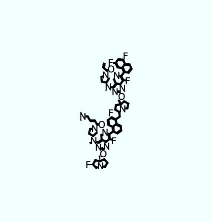 C=CC(=O)N1CC[C@@H](N(C)c2nc(OCC34CCCN3C(Cc3c(F)ccc5c(-c6ncc7c(N(C)[C@@H]8CCN(C(=O)/C=C/CN(C)C)C8)nc(OC[C@@]89CCCN8C[C@H](F)C9)nc7c6F)cccc35)CC4)nc3c(F)c(-c4cccc5c(F)cc(F)cc45)ncc23)C1